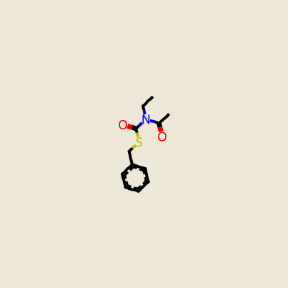 CCN(C(C)=O)C(=O)SCc1ccccc1